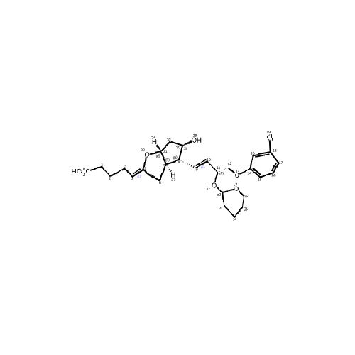 O=C(O)CCC/C=C1/C[C@@H]2[C@@H](/C=C/[C@H](COc3cccc(Cl)c3)OC3CCCCO3)[C@H](O)C[C@H]2O1